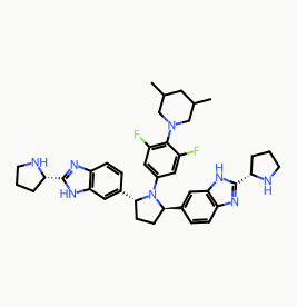 CC1CC(C)CN(c2c(F)cc(N3[C@@H](c4ccc5nc([C@@H]6CCCN6)[nH]c5c4)CC[C@@H]3c3ccc4nc([C@@H]5CCCN5)[nH]c4c3)cc2F)C1